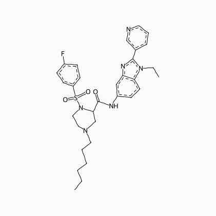 CCCCCCN1CCN(S(=O)(=O)c2ccc(F)cc2)C(C(=O)Nc2ccc3c(c2)nc(-c2cccnc2)n3CC)C1